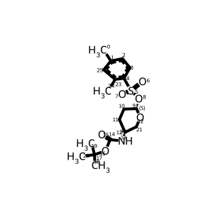 Cc1ccc(S(=O)(=O)O[C@H]2CC[C@@H](NC(=O)OC(C)(C)C)CO2)c(C)c1